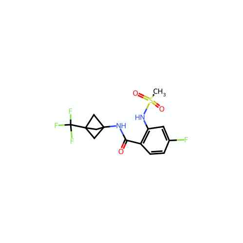 CS(=O)(=O)Nc1cc(F)ccc1C(=O)NC12CC(C(F)(F)F)(C1)C2